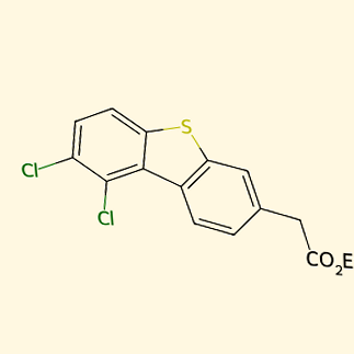 CCOC(=O)Cc1ccc2c(c1)sc1ccc(Cl)c(Cl)c12